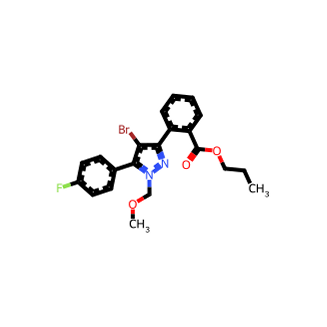 CCCOC(=O)c1ccccc1-c1nn(COC)c(-c2ccc(F)cc2)c1Br